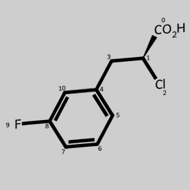 O=C(O)[C@@H](Cl)Cc1cccc(F)c1